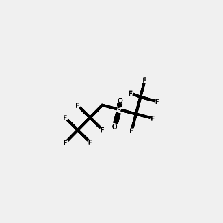 O=S(=O)(CC(F)(F)C(F)(F)F)C(F)(F)C(F)(F)F